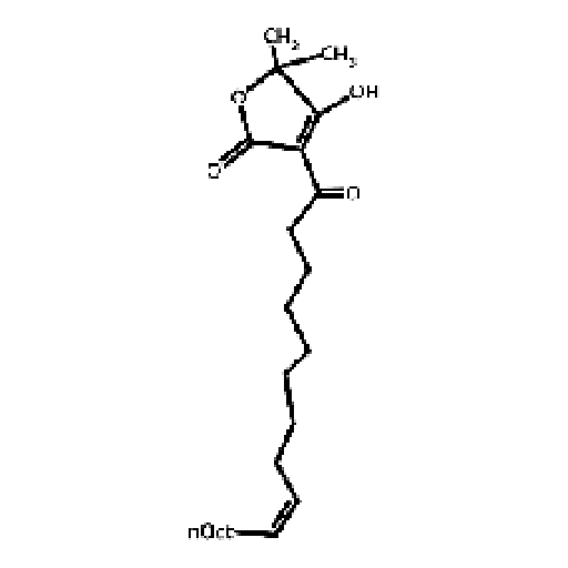 CCCCCCCC/C=C\CCCCCCCC(=O)C1=C(O)C(C)(C)OC1=O